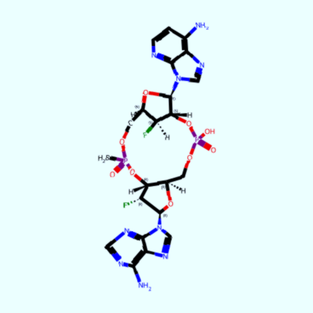 BP1(=O)OC[C@H]2O[C@@H](n3cnc4c(N)ccnc43)[C@H](OP(=O)(O)OC[C@H]3O[C@@H](n4cnc5c(N)ncnc54)[C@H](F)[C@@H]3O1)[C@H]2F